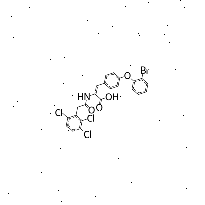 O=C(Cc1c(Cl)ccc(Cl)c1Cl)NC(=Cc1ccc(Oc2ccccc2Br)cc1)C(=O)O